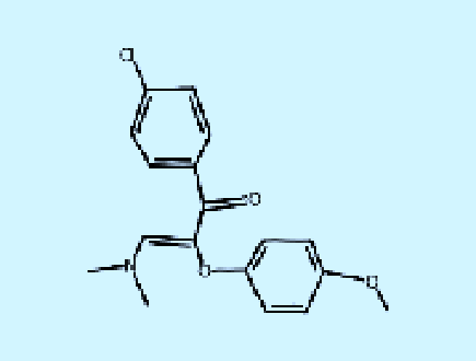 COc1ccc(OC(=CN(C)C)C(=O)c2ccc(Cl)cc2)cc1